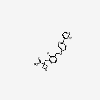 O=C(O)C1(Cc2cccc(COc3ccc(-c4ccn[nH]4)nc3)c2F)COC1